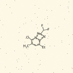 CCc1cc(C)c(Cl)n2nc(C(F)F)nc12